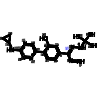 N=N/C(=N\NC(S)(S)S)c1ccc(-c2cnc(NC3CC3)nn2)c(O)c1